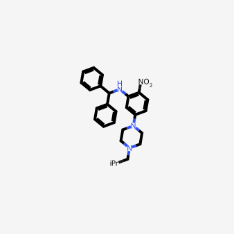 CC(C)CN1CCN(c2ccc([N+](=O)[O-])c(NC(c3ccccc3)c3ccccc3)c2)CC1